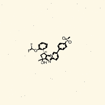 CC1(O)C[C@H](c2ccccc2OC(F)F)c2c1nc1ccc(-c3ccc(S(C)(=O)=O)cc3)cn21